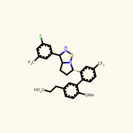 COc1ccc(CCC(=O)O)cc1-c1ccc(C(F)(F)F)cc1[C@@H]1CCC2C(c3cc(F)cc(C(F)(F)F)c3)NSN21